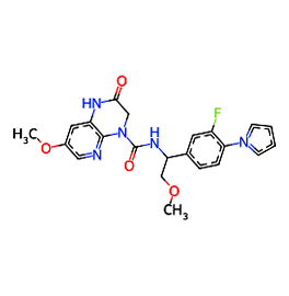 COCC(NC(=O)N1CC(=O)Nc2cc(OC)cnc21)c1ccc(-n2cccc2)c(F)c1